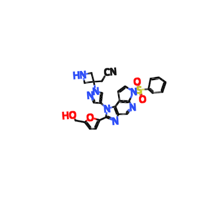 N#CCC1(n2cc(-n3c(-c4ccc(CO)o4)nc4cnc5c(ccn5S(=O)(=O)c5ccccc5)c43)cn2)CNC1